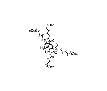 CCCCCCCCCCCCCCCC(=O)C(CN)(OC(CN)(C(=O)CCCCCCCCCCCCCCC)C(=O)CCCCCCCCCCCCCCC)C(=O)CCCCCCCCCCCCCCC